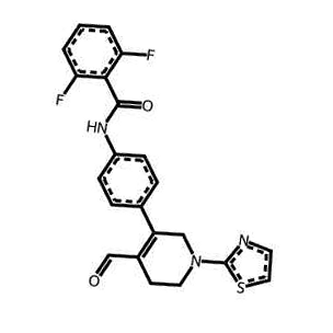 O=CC1=C(c2ccc(NC(=O)c3c(F)cccc3F)cc2)CN(c2nccs2)CC1